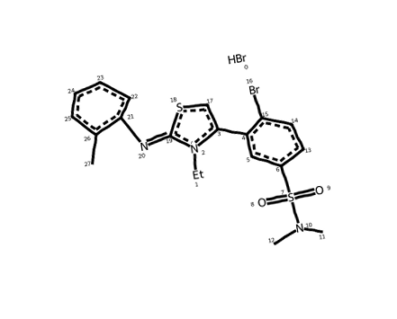 Br.CCn1c(-c2cc(S(=O)(=O)N(C)C)ccc2Br)csc1=Nc1ccccc1C